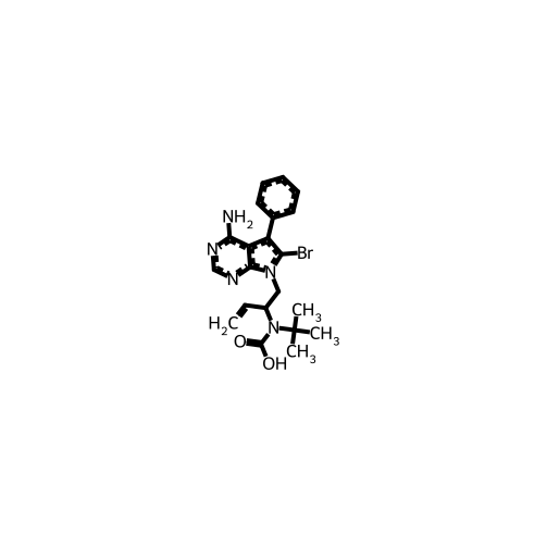 C=CC(Cn1c(Br)c(-c2ccccc2)c2c(N)ncnc21)N(C(=O)O)C(C)(C)C